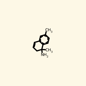 Cc1ccc2c(c1)C=CCC2(C)N